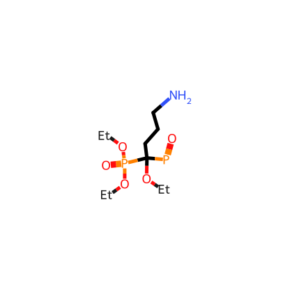 CCOC(CCCN)(P=O)P(=O)(OCC)OCC